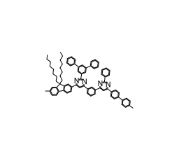 CCCCCCCCC1(CCCCCCCC)c2cc(C)ccc2-c2ccc(-c3cc(-c4cccc(-c5cc(-c6ccc(-c7ccc(C)cc7)cc6)nc(-c6ccccc6)n5)c4)nc(-c4cc(-c5ccccc5)cc(-c5ccccc5)c4)n3)cc21